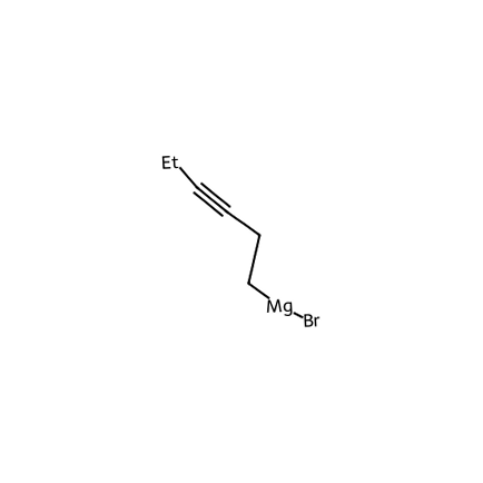 CCC#CC[CH2][Mg][Br]